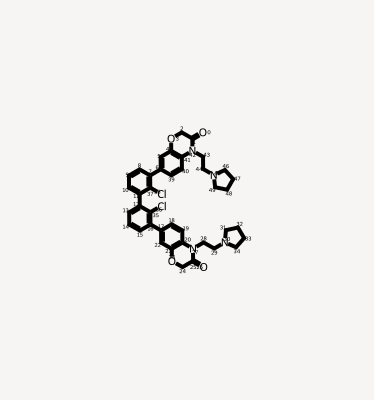 O=C1COc2cc(-c3cccc(-c4cccc(-c5ccc6c(c5)OCC(=O)N6CCN5CCCC5)c4Cl)c3Cl)ccc2N1CCN1CCCC1